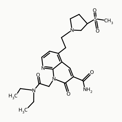 CCN(CC)C(=O)Cn1c(=O)c(C(N)=O)cc2c(CCN3CCC(S(C)(=O)=O)C3)ccnc21